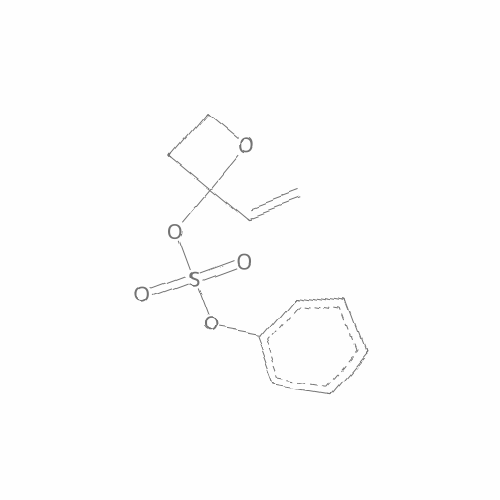 C=CC1(OS(=O)(=O)Oc2ccccc2)CCO1